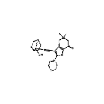 CC1(C)CC(=O)c2sc(N3CCOCC3)c(C#CC3(O)CN4CCC3CC4)c2C1